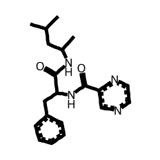 CC(C)CC(C)NC(=O)C(Cc1ccccc1)NC(=O)c1cnccn1